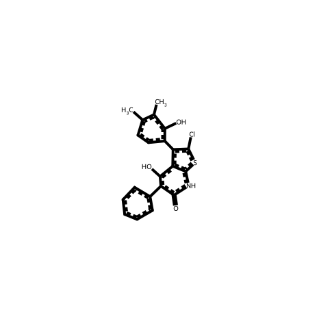 Cc1ccc(-c2c(Cl)sc3[nH]c(=O)c(-c4ccccc4)c(O)c23)c(O)c1C